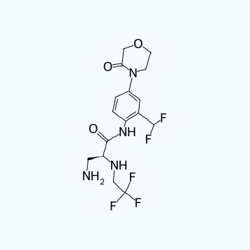 NC[C@H](NCC(F)(F)F)C(=O)Nc1ccc(N2CCOCC2=O)cc1C(F)F